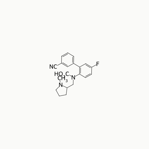 CN1CCCC1CN(C(=O)O)c1ccc(F)cc1-c1cccc(C#N)c1